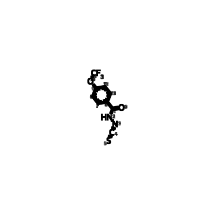 O=C(NN=C=S)c1ccc(OC(F)(F)F)cc1